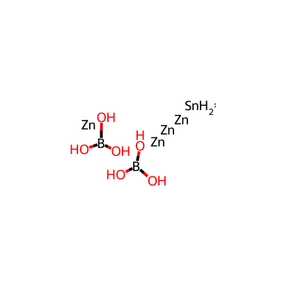 OB(O)O.OB(O)O.[SnH2].[Zn].[Zn].[Zn].[Zn]